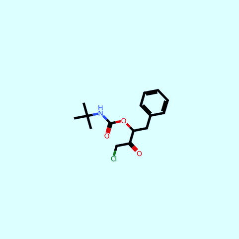 CC(C)(C)NC(=O)OC(Cc1ccccc1)C(=O)CCl